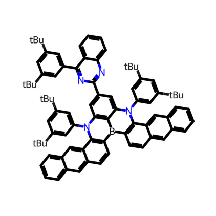 CC(C)(C)c1cc(-c2nc(-c3cc4c5c(c3)N(c3cc(C(C)(C)C)cc(C(C)(C)C)c3)c3c(ccc6cc7ccccc7cc36)B5c3ccc5cc6ccccc6cc5c3N4c3cc(C(C)(C)C)cc(C(C)(C)C)c3)nc3ccccc23)cc(C(C)(C)C)c1